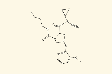 CCCCOC(=O)N1CC(Sc2ccccc2OC)CC1C(=O)N(C#N)C1CC1